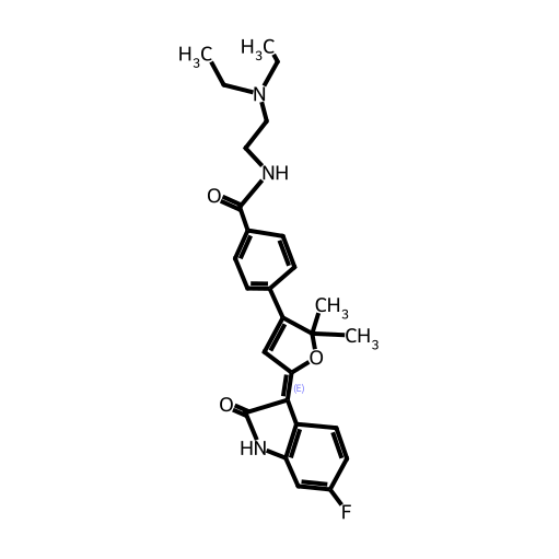 CCN(CC)CCNC(=O)c1ccc(C2=C/C(=C3\C(=O)Nc4cc(F)ccc43)OC2(C)C)cc1